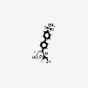 CC(C)C[C@@](F)(N[C@@H](c1ccc(-c2ccc(S(C)(=O)=O)cc2)cc1)C(F)(F)F)C(=O)O